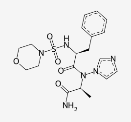 C[C@@H](C(N)=O)N(C(=O)[C@H](Cc1ccccc1)NS(=O)(=O)N1CCOCC1)n1ccnc1